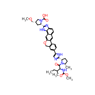 CCC(C)C(NC(=O)OC)C(=O)N1[C@@H](C)CC[C@H]1c1ncc(-c2ccc3c(c2)COc2cc4c(ccc5nc([C@@H]6C[C@H](COC)CN6C(=O)O)[nH]c54)cc2-3)[nH]1